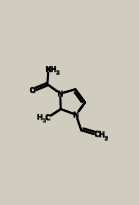 C=CN1C=CN(C(N)=O)C1C